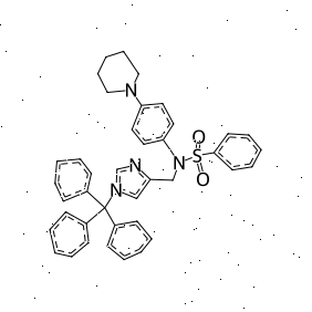 O=S(=O)(c1ccccc1)N(Cc1cn(C(c2ccccc2)(c2ccccc2)c2ccccc2)cn1)c1ccc(N2CCCCC2)cc1